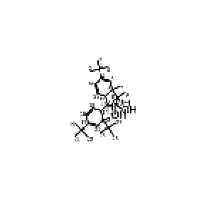 CC(C)(C)C1=CC(C)(C(C)(C)C)C(C(C2C=CC(C(C)(C)C)=CC2(C)C(C)(C)C)[PH](O)(O)O)C=C1